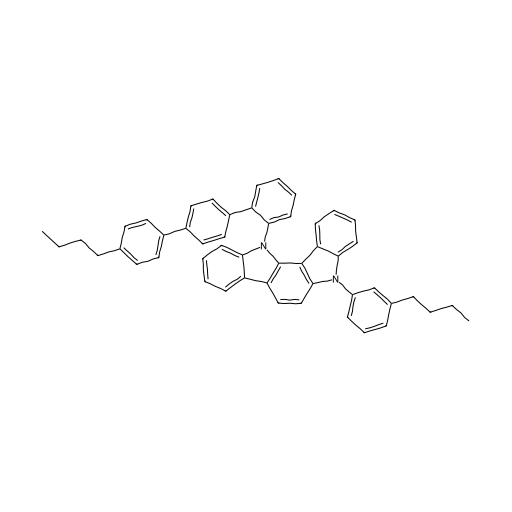 CCCCc1ccc(-c2ccc(-c3ccccc3-n3c4ccccc4c4ccc5c(c6ccccc6n5-c5cccc(CCCC)c5)c43)cc2)cc1